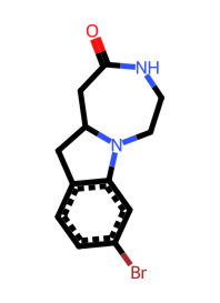 O=C1CC2Cc3ccc(Br)cc3N2CCN1